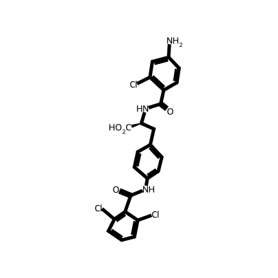 Nc1ccc(C(=O)N[C@@H](Cc2ccc(NC(=O)c3c(Cl)cccc3Cl)cc2)C(=O)O)c(Cl)c1